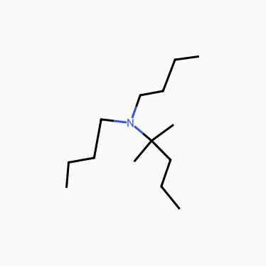 CCCCN(CCCC)C(C)(C)CCC